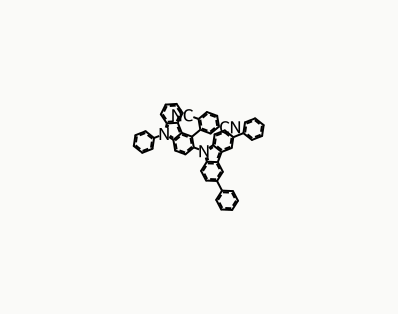 N#Cc1ccc(C#N)c(-c2c(-n3c4ccc(-c5ccccc5)cc4c4cc(-c5ccccc5)ccc43)ccc3c2c2ccccc2n3-c2ccccc2)c1